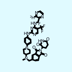 [2H]c1nccnc1CNc1nc(Nc2ccc(N3CCC(N(C)Cc4ccc5c(c4)C(=O)N(C4CCC(=O)NC4=O)C5=O)CC3)cc2)ncc1C(F)(F)F